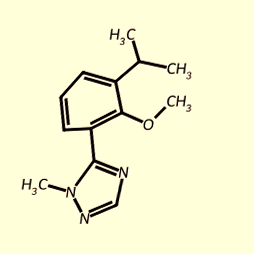 COc1c(-c2ncnn2C)cccc1C(C)C